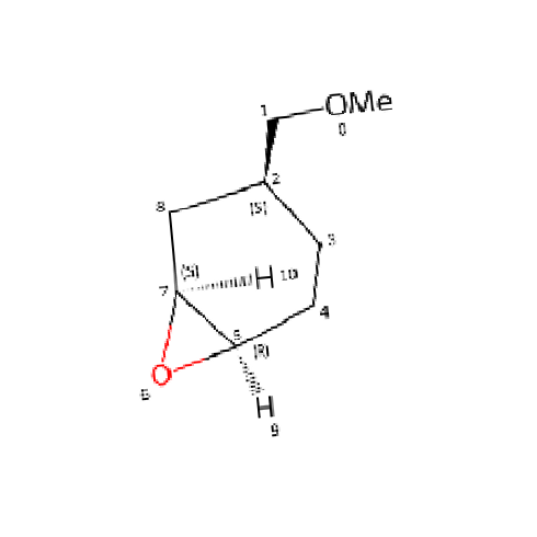 COC[C@H]1CC[C@H]2O[C@H]2C1